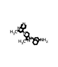 Cc1cc(N2CCc3c(c(C)nn3CC34CCCC(C3)C(N)CC4)C2)c2ccncc2n1